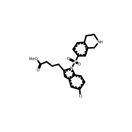 COC(=O)CCCc1cc2cc(Cl)ccc2n1S(=O)(=O)c1ccc2c(c1)CNCC2